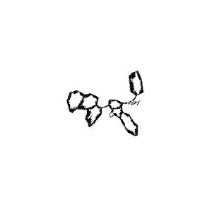 c1ccc(Nc2ccc(-c3cccc4c3ccc3ccccc34)c3oc4ccccc4c23)cc1